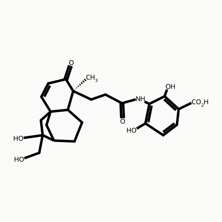 C[C@@]1(CCC(=O)Nc2c(O)ccc(C(=O)O)c2O)C(=O)C=CC23CC(CCC21)C(O)(CO)C3